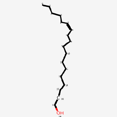 CCCCC/C=C\CCCCCCCCCCCO